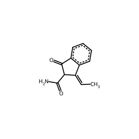 C/C=C1\c2ccccc2C(=O)C1C(N)=O